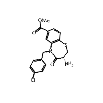 COC(=O)c1ccc2c(c1)N(Cc1ccc(Cl)cc1)C(=O)[C@@H](N)CS2